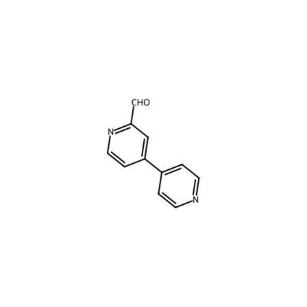 O=Cc1cc(-c2ccncc2)ccn1